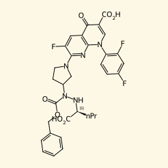 CCC[C@H](NN(C(=O)OCc1ccccc1)C1CCN(c2nc3c(cc2F)c(=O)c(C(=O)O)cn3-c2ccc(F)cc2F)C1)C(=O)O